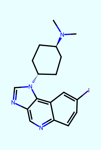 CN(C)[C@H]1CC[C@H](n2cnc3cnc4ccc(I)cc4c32)CC1